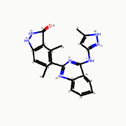 Cc1cc(Nc2nc(-c3c(C)cc4[nH][nH]c(=O)c4c3C)nc3ccccc23)n[nH]1